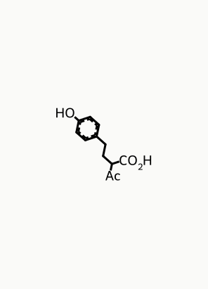 CC(=O)C(CCc1ccc(O)cc1)C(=O)O